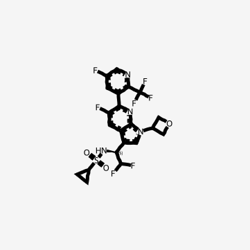 O=S(=O)(N[C@@H](c1cn(C2COC2)c2nc(-c3cc(F)cnc3C(F)(F)F)c(F)cc12)C(F)F)C1CC1